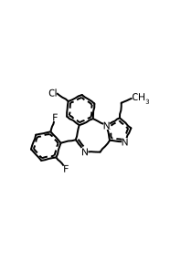 CCc1cnc2n1-c1ccc(Cl)cc1C(c1c(F)cccc1F)=NC2